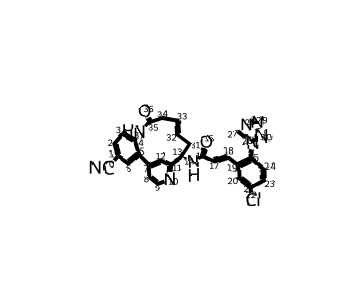 N#Cc1ccc2c(c1)-c1ccnc(c1)[C@@H](NC(=O)/C=C/c1cc(Cl)ccc1-n1cnnn1)C/C=C/CC(=O)N2